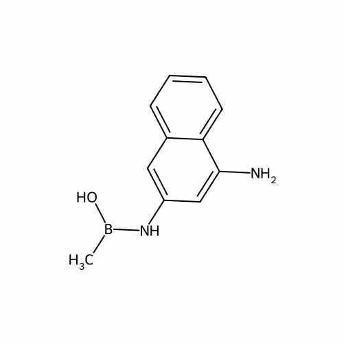 CB(O)Nc1cc(N)c2ccccc2c1